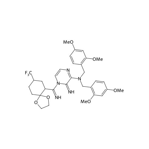 COc1ccc(CN(Cc2ccc(OC)cc2OC)c2nccn(C(=N)C3CC(C(F)(F)F)CCC34OCCO4)c2=N)c(OC)c1